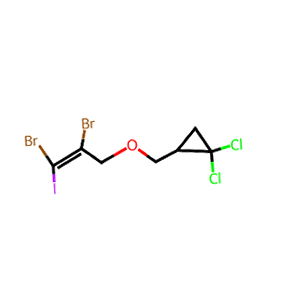 ClC1(Cl)CC1COCC(Br)=C(Br)I